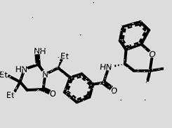 CC[C@@H](c1cccc(C(=O)N[C@H]2CC(C)(C)Oc3ccccc32)c1)N1C(=N)NC(CC)(CC)CC1=O